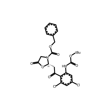 CC(C)(C)OC(=O)Nc1cc(Cl)cc(Cl)c1C(=O)C[C@@H]1OC(=O)CN1C(=O)OCc1ccccc1